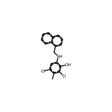 Cc1c(Cl)cc(NCc2cccc3ccccc23)c(O)c1Cl